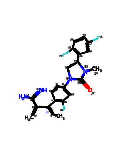 C=C(C(=N)N)/C(=C/C)c1ccc(N2CC(c3cc(F)ccc3F)N(C)C2=O)cc1F